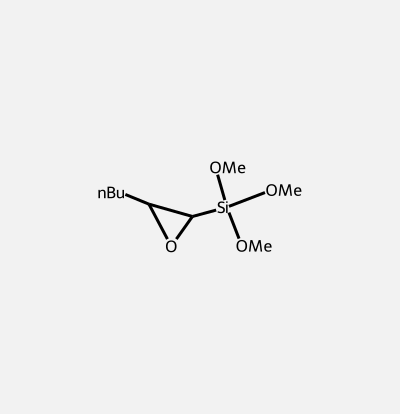 CCCCC1OC1[Si](OC)(OC)OC